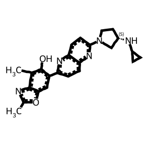 Cc1nc2c(C)c(O)c(-c3ccc4nc(N5CC[C@H](NC6CC6)C5)ccc4n3)cc2o1